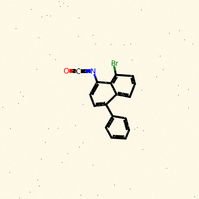 O=C=Nc1ccc(-c2ccccc2)c2cccc(Br)c12